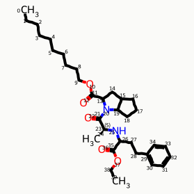 CCCCCCCCCCOC(=O)C1CC2CCCC2N1C(=O)[C@H](C)NC(CCc1ccccc1)C(=O)OCC